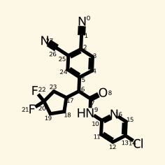 N#Cc1ccc(C(C(=O)Nc2ccc(Cl)cn2)C2CCC(F)(F)C2)cc1C#N